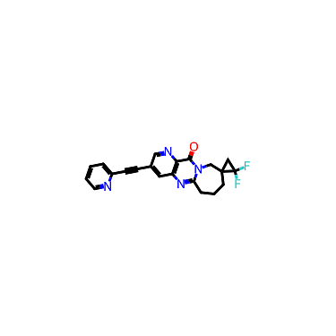 O=c1c2ncc(C#Cc3ccccn3)cc2nc2n1CC1(CCC2)CC1(F)F